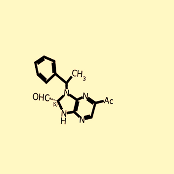 CC(=O)c1cnc2c(n1)N(C(C)c1ccccc1)[C@@H](C=O)N2